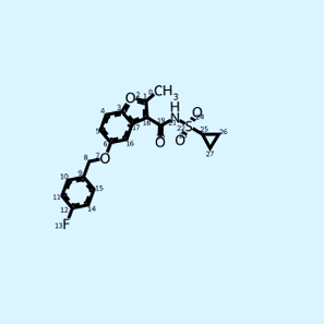 Cc1oc2ccc(OCc3ccc(F)cc3)cc2c1C(=O)NS(=O)(=O)C1CC1